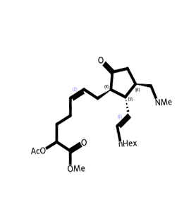 CCCCCC/C=C/[C@H]1[C@H](CNC)CC(=O)[C@@H]1C/C=C\CCC(OC(C)=O)C(=O)OC